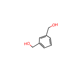 OCc1cccc(CO)c1